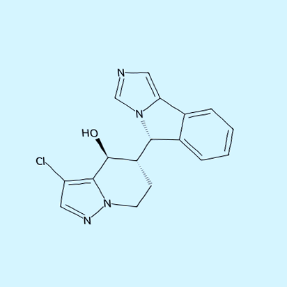 O[C@@H]1c2c(Cl)cnn2CC[C@H]1[C@H]1c2ccccc2-c2cncn21